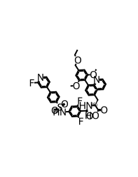 CCOCc1cc(OC)c(-c2ccc(C[C@H](NC(=O)c3c(F)cc(NS(=O)(=O)c4ccc(-c5ccnc(F)c5)cc4)cc3F)C(=O)O)c3cccnc23)c(OC)c1